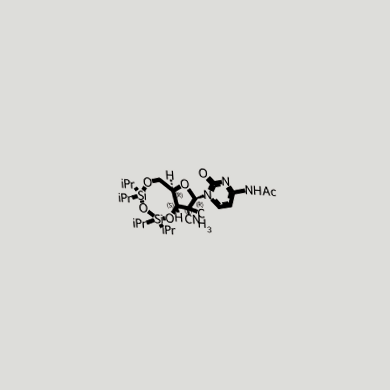 CC(=O)Nc1ccn([C@@H]2O[C@@H]3CO[Si](C(C)C)(C(C)C)O[Si](C(C)C)(C(C)C)O[C@H]3[C@@]2(C)C#N)c(=O)n1